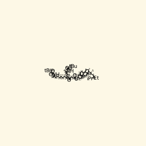 CC[C@H](CC[C@@H](C)C1CCC2C3CC=C4CC(OC(=O)CCC(=O)N(CCCCCCCC(C)NC(=O)OC(C)(C)C)CCC(C)NC(=O)OC(C)(C)C)CCC4(C)C3CCC21C)C(C)C